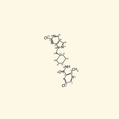 Cc1ncc(Cl)cc1C(=O)N[C@H]1CC[C@H](Cn2ncc3cnc(Cl)nc32)CC1